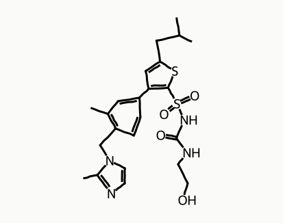 Cc1cc(-c2cc(CC(C)C)sc2S(=O)(=O)NC(=O)NCCO)ccc1Cn1ccnc1C